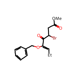 CC/C=C(\OCc1ccccc1)C(=O)C(Br)CC(=O)OC